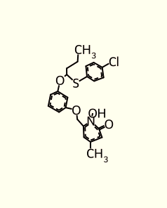 CCCC(Oc1cccc(OCc2cc(C)cc(=O)n2O)c1)Sc1ccc(Cl)cc1